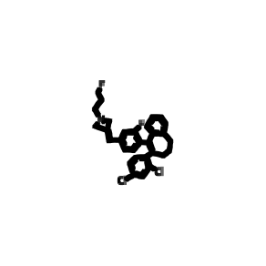 FCCCN1CC(=Cc2ccc(C3=C(c4ccc(Cl)cc4Cl)CCCc4ccccc43)c(F)c2)C1